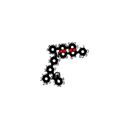 c1ccc(-c2ccc(-c3ccc(N(c4ccc(-c5ccc(-c6ccccc6)c(-c6cc7ccccc7o6)c5)cc4)c4ccccc4-c4ccc(-c5ccccc5)cc4)cc3)cc2)cc1